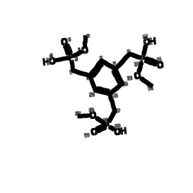 COP(=O)(O)Cc1cc(CP(=O)(O)OC)cc(CP(=O)(O)OC)c1